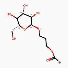 [2H]C(=O)OCCCO[C@H]1O[C@H](CO)C(O)[C@H](O)[C@H]1O